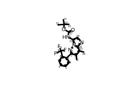 Cc1c(-c2ccccc2C(F)(F)F)nn2c(NC(=O)OC(C)(C)C)cnc2c1C